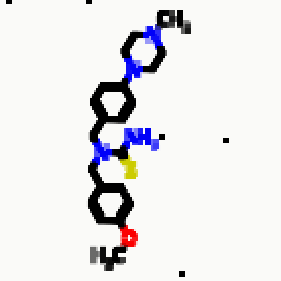 COc1ccc(CN(Cc2ccc(N3CCN(C)CC3)cc2)C(N)=S)cc1